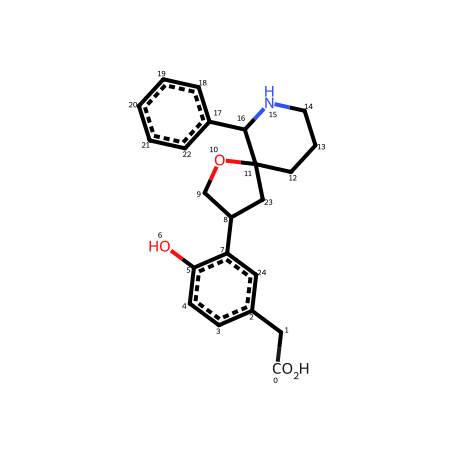 O=C(O)Cc1ccc(O)c(C2COC3(CCCNC3c3ccccc3)C2)c1